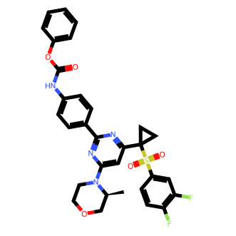 C[C@H]1COCCN1c1cc(C2(S(=O)(=O)c3ccc(F)c(F)c3)CC2)nc(-c2ccc(NC(=O)Oc3ccccc3)cc2)n1